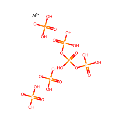 O=P(O)(O)OP(=O)(O)OP(=O)(O)O.O=P([O-])(O)O.O=P([O-])(O)O.O=P([O-])(O)O.[Al+3]